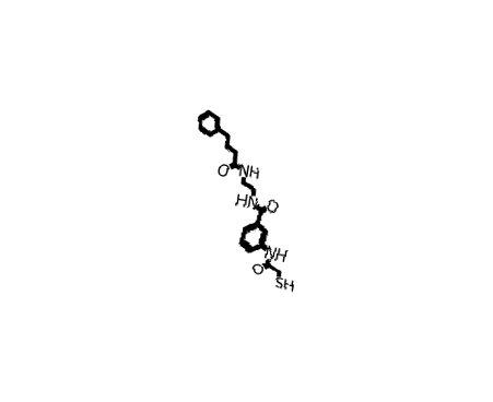 O=C(CCCc1ccccc1)NCCNC(=O)c1cccc(NC(=O)CS)c1